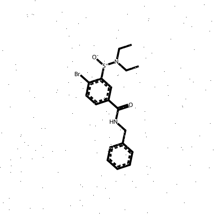 CCN(CC)[S+]([O-])c1cc(C(=O)NCc2ccccc2)ccc1Br